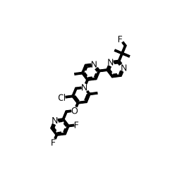 CC1=CC(OCc2ncc(F)cc2F)=C(Cl)CN1c1cc(-c2ccnc(C(C)(C)CF)n2)ncc1C